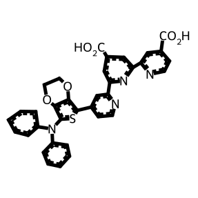 O=C(O)c1ccnc(-c2cc(C(=O)O)cc(-c3cc(-c4sc(N(c5ccccc5)c5ccccc5)c5c4OCCO5)ccn3)n2)c1